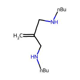 C=C(CNCCCC)CNCCCC